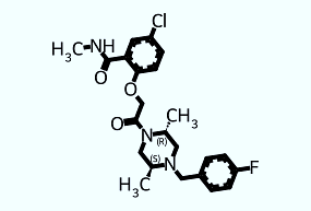 CNC(=O)c1cc(Cl)ccc1OCC(=O)N1C[C@H](C)N(Cc2ccc(F)cc2)C[C@H]1C